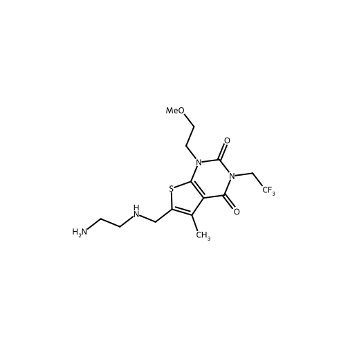 COCCn1c(=O)n(CC(F)(F)F)c(=O)c2c(C)c(CNCCN)sc21